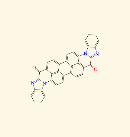 O=c1c2ccc3c4ccc5c6c(ccc(c7ccc(c2c37)n2c1nc1ccccc12)c46)c(=O)c1nc2ccccc2n15